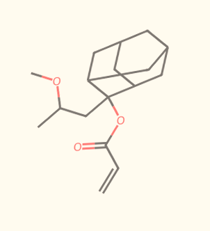 C=CC(=O)OC1(CC(C)OC)C2CC3CC(C2)CC1C3